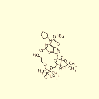 CC(C)(C)OC(=O)N(c1nc(Cl)nc2c1cnn2[C@@H]1O[C@H](COC(C)(COCCO)P(C)(C)=O)[C@H]2OC(C)(C)O[C@H]21)C1CCCC1